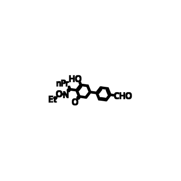 CCCC(=NOCC)C1=C(O)CC(c2ccc(C=O)cc2)CC1=O